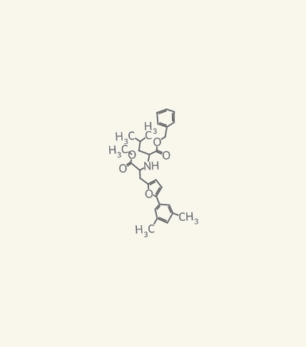 COC(=O)C(Cc1ccc(-c2cc(C)cc(C)c2)o1)NC(CC(C)C)C(=O)OCc1ccccc1